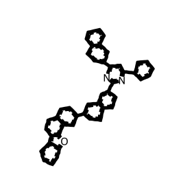 c1ccc(-c2cc(-c3ccc4ccccc4c3)nc(-c3ccc4ccc(-c5ccc6ccc7c8ccccc8oc7c6c5)cc4c3)n2)cc1